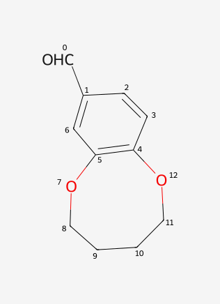 O=Cc1ccc2c(c1)OCCCCO2